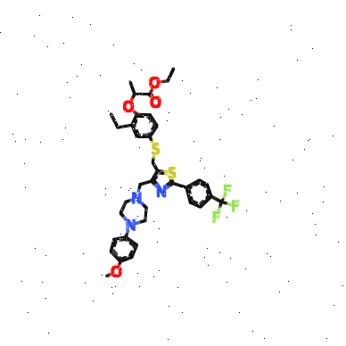 CCOC(=O)C(C)Oc1ccc(SCc2sc(-c3ccc(C(F)(F)F)cc3)nc2CN2CCN(c3ccc(OC)cc3)CC2)cc1CC